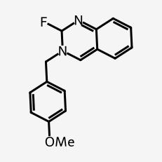 COc1ccc(CN2C=c3ccccc3=NC2F)cc1